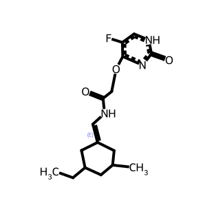 CCC1C/C(=C/NC(=O)COc2nc(=O)[nH]cc2F)CC(C)C1